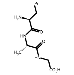 CC(C)C[C@H](N)C(=O)N[C@@H](C)C(=O)NCC(=O)O